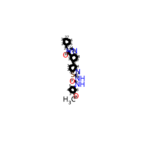 COc1cccc(NC(=O)Nc2nc3cc(-c4ccc5ncn(Cc6ccccc6)c(=O)c5c4)ccc3s2)c1